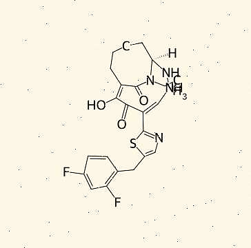 CCN1C(=O)/C2=C(\O)C(=O)/C(c3ncc(Cc4ccc(F)cc4F)s3)=C\NN[C@@H]1CCCC2